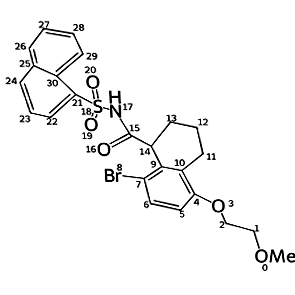 COCCOc1ccc(Br)c2c1CCCC2C(=O)NS(=O)(=O)c1cccc2ccccc12